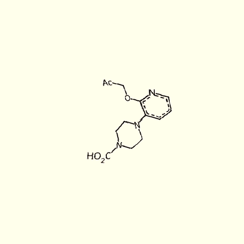 CC(=O)COc1ncccc1N1CCN(C(=O)O)CC1